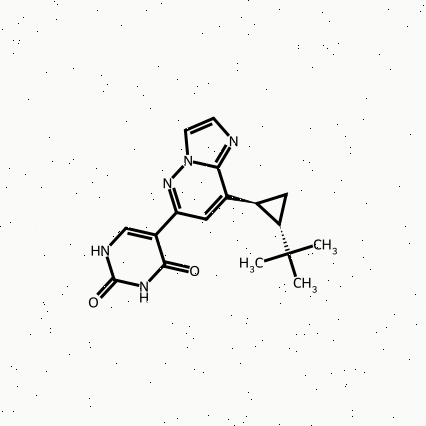 CC(C)(C)[C@H]1C[C@@H]1c1cc(-c2c[nH]c(=O)[nH]c2=O)nn2ccnc12